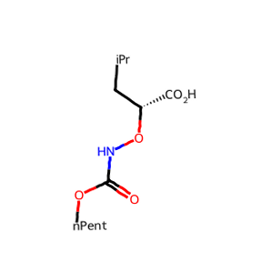 CCCCCOC(=O)NO[C@H](CC(C)C)C(=O)O